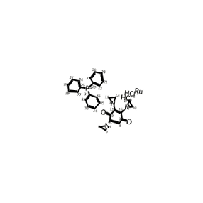 Cl.Cl.O=C1C=C(N2CC2)C(=O)C(N2CC2)=C1N1CC1.[Ru].c1ccc(P(c2ccccc2)c2ccccc2)cc1